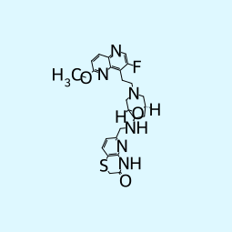 COc1ccc2ncc(F)c(CCN3C[C@H]4C[C@@H](NCc5ccc6c(n5)NC(=O)CS6)[C@H](C3)O4)c2n1